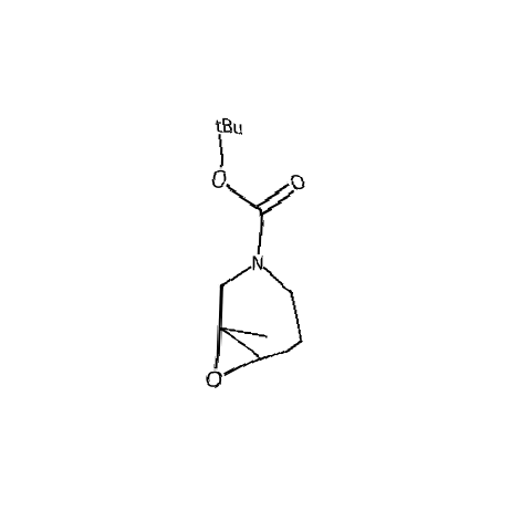 CC(C)(C)OC(=O)N1CCC2OC2(C)C1